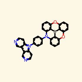 c1cc2c3c(c1)Oc1cccc4c1B3c1c(cccc1N4c1ccc(-n3c4ccncc4c4cnccc43)cc1)O2